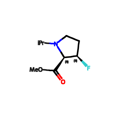 COC(=O)[C@@H]1[C@H](F)CCN1C(C)C